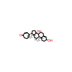 C[C@]12CC[C@H](O)C=C1CCC1C2CC[C@]2(C)[C@@H](C3=CCCC(=O)C=C3)CC[C@]12O